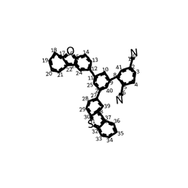 N#Cc1ccc(C#N)c(-c2cc(-c3ccc4oc5ccccc5c4c3)cc(-c3ccc4sc5ccccc5c4c3)c2)c1